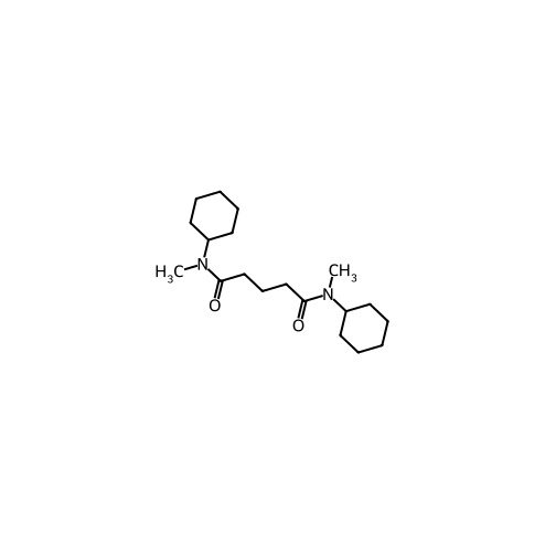 CN(C(=O)CCCC(=O)N(C)C1CCCCC1)C1CCCCC1